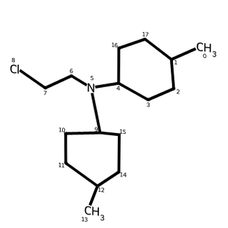 CC1CCC(N(CCCl)C2CCC(C)CC2)CC1